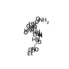 CCC1CC(=O)N(CCCCCC(=O)NCc2cn(CC(=O)NCC(=O)N[C@@H](Cc3ccccc3)C(=O)NCC(=O)NCOCC(N)=O)nn2)C1=O